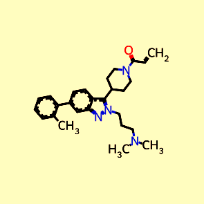 C=CC(=O)N1CCC(c2c3ccc(-c4ccccc4C)cc3nn2CCCN(C)C)CC1